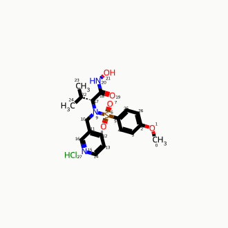 COc1ccc(S(=O)(=O)N(Cc2cccnc2)[C@@H](C(=O)NO)C(C)C)cc1.Cl